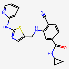 N#Cc1ccc(C(=O)NC2CC2)cc1NCc1cnc(Nc2ccccn2)s1